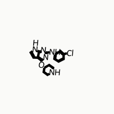 Clc1cccc(Nc2nc(OC3CCNCC3)c3cc[nH]c3n2)c1